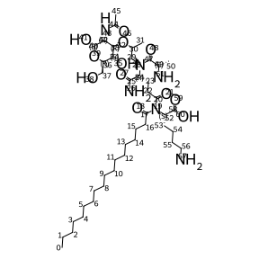 CCCCCCCCCCCCCCCCCC(=O)N(C(=O)CC[C@H](C(N)=O)N(CC(C)O[C@H]1[C@H](O)[C@@H](CO)O[C@H](O)[C@@H]1NC(C)=O)C(=O)[C@H](C)N)[C@@H](CCCCN)C(=O)O